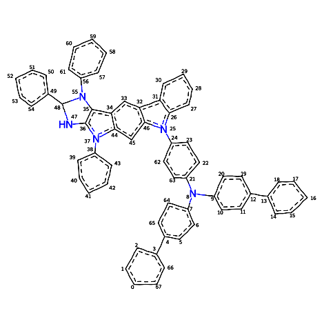 c1ccc(-c2ccc(N(c3ccc(-c4ccccc4)cc3)c3ccc(-n4c5ccccc5c5cc6c7c(n(-c8ccccc8)c6cc54)NC(c4ccccc4)N7c4ccccc4)cc3)cc2)cc1